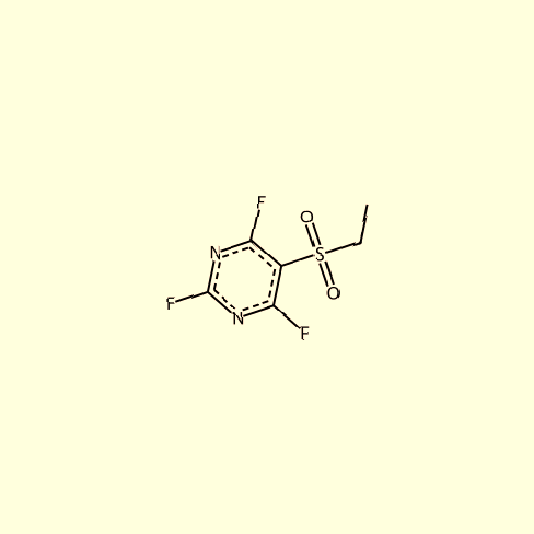 CCS(=O)(=O)c1c(F)nc(F)nc1F